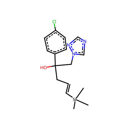 C[Si](C)(C)/C=C/CC(O)(Cn1cncn1)c1ccc(Cl)cc1